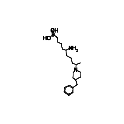 CC(CCCC(N)CCCCB(O)O)N1CCC(Cc2ccccc2)CC1